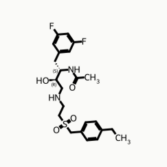 CCc1ccc(CS(=O)(=O)CCNC[C@@H](O)[C@H](Cc2cc(F)cc(F)c2)NC(C)=O)cc1